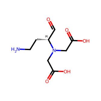 NCC[C@H](C=O)N(CC(=O)O)CC(=O)O